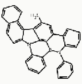 Cc1cc2c3c4c1c1c5ccccc5ccc1n4-c1ccccc1B3N(c1ccccc1)c1ccccc1-2